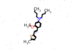 CCCCN(CCCC)c1ccc(/C=C/c2ccc(C)s2)c(OC)c1